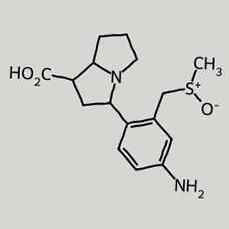 C[S+]([O-])Cc1cc(N)ccc1C1CC(C(=O)O)C2CCCN12